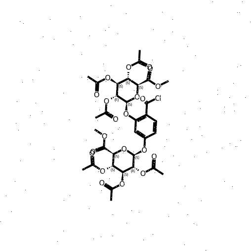 COC(=O)[C@H]1O[C@@H](Oc2ccc(C(=O)Cl)c(O[C@@H]3O[C@H](C(=O)OC)[C@@H](OC(C)=O)[C@H](OC(C)=O)[C@H]3OC(C)=O)c2)[C@H](OC(C)=O)[C@@H](OC(C)=O)[C@@H]1OC(C)=O